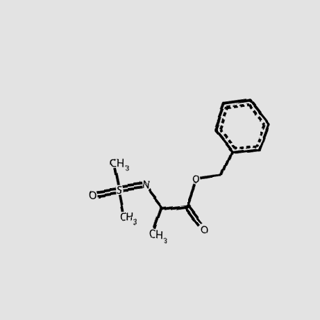 CC(N=S(C)(C)=O)C(=O)OCc1ccccc1